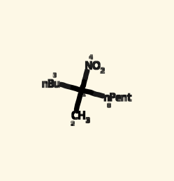 CCCCCC(C)(CCCC)[N+](=O)[O-]